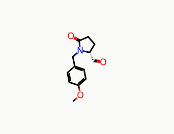 COc1ccc(CN2C(=O)CC[C@@H]2C=O)cc1